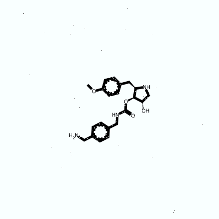 COc1ccc(C[C@H]2NC[C@H](O)[C@H]2OC(=O)NCc2ccc(CN)cc2)cc1